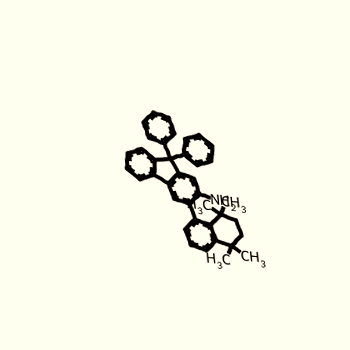 CC1(C)CCC(C)(C)c2c(-c3cc4c(cc3N)C(c3ccccc3)(c3ccccc3)c3ccccc3-4)cccc21